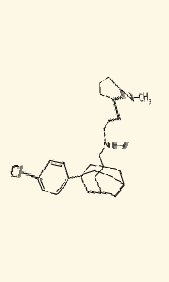 CN1CCCC1CCNCC12CC3CC(C1)CC(c1ccc(Cl)cc1)(C3)C2